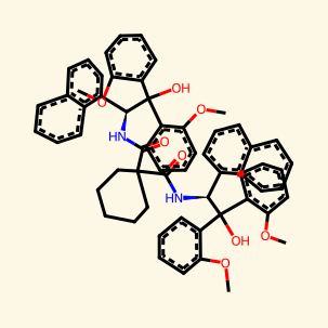 COc1ccccc1C(O)(c1ccccc1OC)[C@@H](NC(=O)C1(C(=O)N[C@@H](c2cccc3ccccc23)C(O)(c2ccccc2OC)c2ccccc2OC)CCCCC1)c1cccc2ccccc12